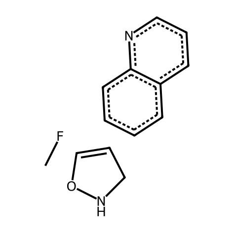 C1=CONC1.CF.c1ccc2ncccc2c1